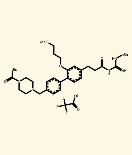 CCCCNC(=N)NC(=O)CCc1ccc(-c2ccc(CN3CCN(C(=O)C(C)(C)C)CC3)cc2)c(OCCCOC)c1.O=C(O)C(F)(F)F